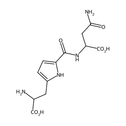 NC(=O)CC(NC(=O)c1ccc(CC(N)C(=O)O)[nH]1)C(=O)O